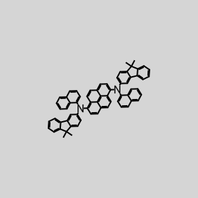 CC1(C)c2ccccc2-c2cc(N(c3cccc4ccccc34)c3ccc4ccc5c(N(c6ccc7c(c6)-c6ccccc6C7(C)C)c6cccc7ccccc67)ccc6ccc3c4c65)ccc21